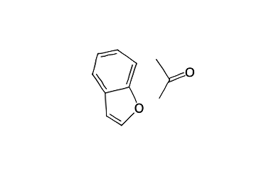 CC(C)=O.c1ccc2occc2c1